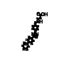 O=C(O)CCNCc1ccc(-c2noc(-c3ccc(N4CCCCC4)cc3)n2)cc1